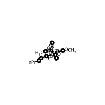 C=COc1ccc(C(=O)Oc2c(Cl)c(/C=N/N(c3nc4ccccc4s3)S(=O)(=O)c3ccc(C)cc3)c(OC(=O)c3ccc(-c4ccc5cc(CCC)ccc5c4)cc3Cl)c3ccccc23)cc1